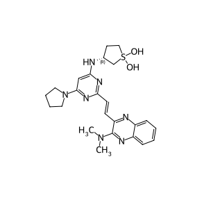 CN(C)c1nc2ccccc2nc1C=Cc1nc(N[C@@H]2CCS(O)(O)C2)cc(N2CCCC2)n1